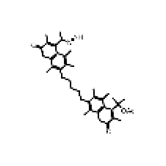 CC(=O)OC(C)(C)C1=C(C)C(=O)Cc2c(C)c(CCCCCc3c(C)c(C)c4c(c3C)CC(=O)C(C)=C4C(C)N=N)c(C)c(C)c21